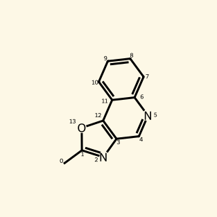 Cc1nc2cnc3ccccc3c2o1